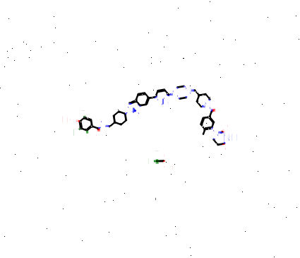 Cc1ccc(C(=O)N2CCC(CN3CCN(c4ccc(-c5ccc6cn(C7CCC(CNC(=O)c8cc(F)c(O)c(F)c8F)CC7)nc6c5)nn4)CC3)CC2)cc1N1CCC(=O)NC1=O.O=C(O)C(F)(F)F